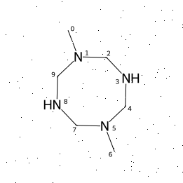 CN1CNCN(C)CNC1